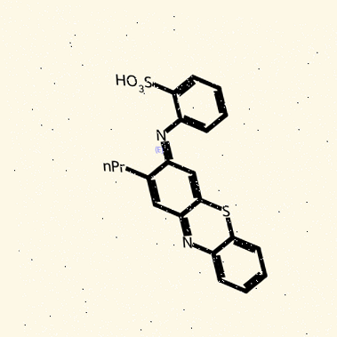 CCCc1cc2nc3ccccc3sc-2c/c1=N\c1ccccc1S(=O)(=O)O